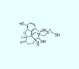 C[N@+]1(CC2CC2O)CC[C@]23c4c5ccc(O)c4O[C@H]2C(=O)CC[C@@]3(O)[C@@]1(O)C5